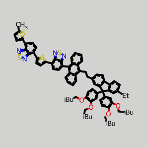 CCc1ccc2c(c1)C(c1ccc(OCC(C)CC)c(OCC(C)CC)c1)(c1ccc(OCC(C)CC)c(OCC(C)CC)c1)c1cc(CCc3c4ccccc4c(-c4ccc(-c5ccc(-c6ccc(-c7ccc(C)s7)c7nsnc67)s5)c5nsnc45)c4ccccc34)ccc1-2